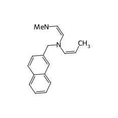 C/C=C\N(/C=C\NC)Cc1ccc2ccccc2c1